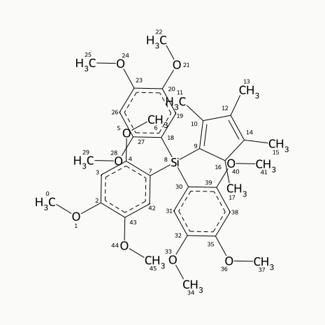 COc1cc(OC)c([Si](C2=C(C)C(C)=C(C)C2C)(c2cc(OC)c(OC)cc2OC)c2cc(OC)c(OC)cc2OC)cc1OC